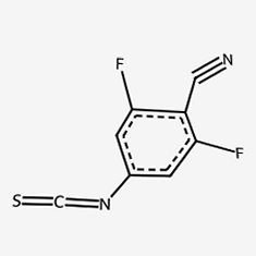 N#Cc1c(F)cc(N=C=S)cc1F